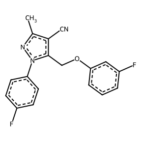 Cc1nn(-c2ccc(F)cc2)c(COc2cccc(F)c2)c1C#N